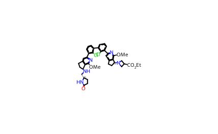 CCOC(=O)C1CN([C@H]2CCc3cc(-c4cccc(-c5cccc(-c6cc7c(c(OC)n6)C(NC[C@@H]6CCC(=O)N6)CC7)c5Cl)c4Cl)nc(OC)c32)C1